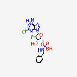 Nc1nc(Cl)nc2c1ncn2[C@@H]1O[C@H](COP(=O)(O)NCc2ccccc2)[C@H](O)C1F